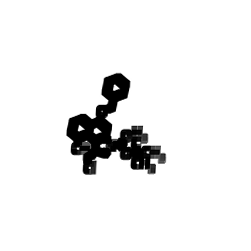 Cc1cccc2c(OCc3ccccc3)cc3c(c12)C(CCl)CN3C(=O)OC(C)(C)C